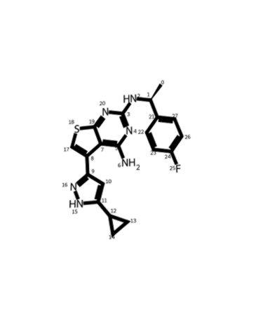 C[C@H](Nc1nc(N)c2c(-c3cc(C4CC4)[nH]n3)csc2n1)c1ccc(F)cc1